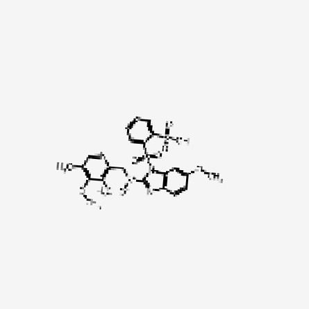 COc1ccc2nc([S+]([O-])Cc3ncc(C)c(OC)c3C)n(S(=O)(=O)c3ccccc3S(=O)(=O)O)c2c1